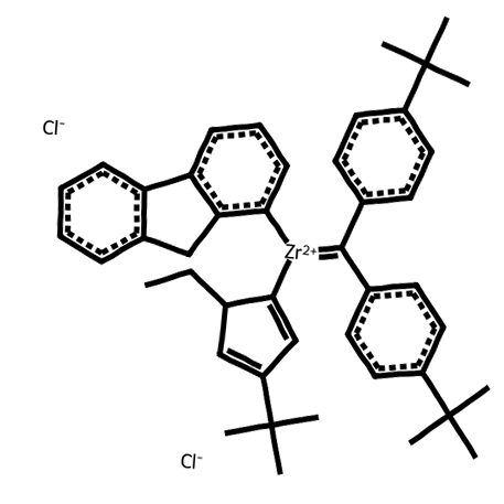 CCC1C=C(C(C)(C)C)C=[C]1[Zr+2](=[C](c1ccc(C(C)(C)C)cc1)c1ccc(C(C)(C)C)cc1)[c]1cccc2c1Cc1ccccc1-2.[Cl-].[Cl-]